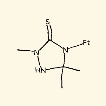 CCN1C(=S)N(C)NC1(C)C